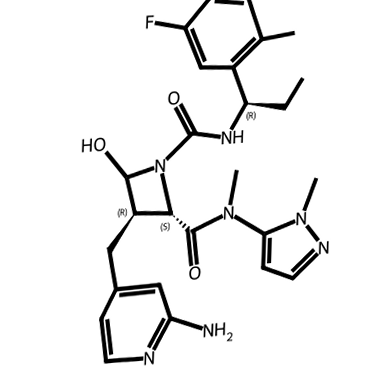 CC[C@@H](NC(=O)N1C(O)[C@H](Cc2ccnc(N)c2)[C@H]1C(=O)N(C)c1ccnn1C)c1cc(F)ccc1C